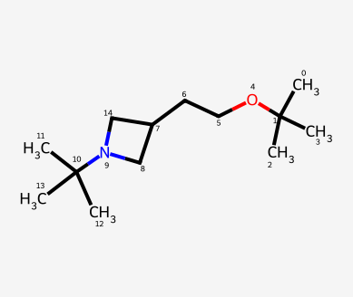 CC(C)(C)OCCC1CN(C(C)(C)C)C1